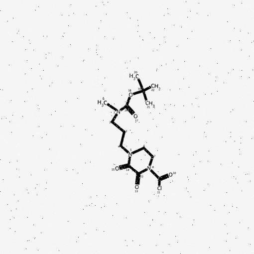 CN(CCCN1CCN(C(=O)Cl)C(=O)C1=O)C(=O)OC(C)(C)C